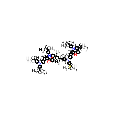 CC(C)(C)c1ccc(N(c2ccc(C(C)(C)C)cc2)c2ccc3c(c2)C(C)(C)c2cc(N(c4ccc(C(C)(C)C)cc4)c4ccc(C(C)(C)CCC(C)(C)c5ccc(N(c6ccc(S(C)(C)C)cc6)c6ccc7c(c6)C(C)(C)c6cc(N(c8ccc(C(C)(C)C)cc8)c8ccc([Si](C)(C)C)cc8)c8c(oc9ccccc98)c6-7)cc5)cc4)c4c(oc5ccccc54)c2-3)cc1